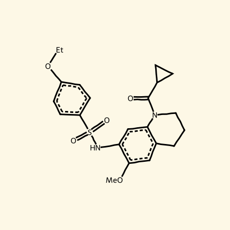 CCOc1ccc(S(=O)(=O)Nc2cc3c(cc2OC)CCCN3C(=O)C2CC2)cc1